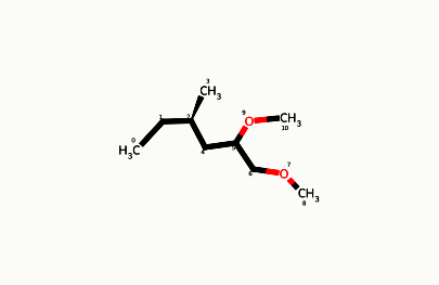 CC[C@@H](C)CC(COC)OC